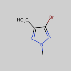 Cn1nc(Br)c(C(=O)O)n1